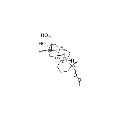 COOC[C@]1(C)CCC[C@]2(C)[C@@H]1CC[C@@]13CC[C@@H](C[C@H]12)[C@@](O)(CO)C3